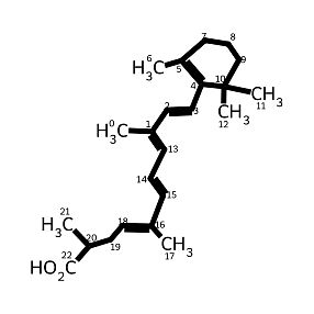 CC(C=CC1=C(C)CCCC1(C)C)=CC=CC(C)=CCC(C)C(=O)O